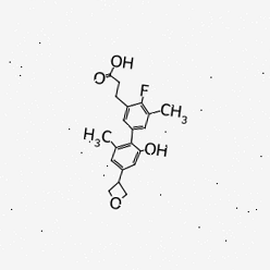 Cc1cc(-c2c(C)cc(C3COC3)cc2O)cc(CCC(=O)O)c1F